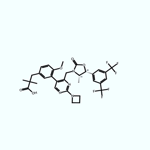 COc1ccc(CC(C)(C)C(=O)O)cc1-c1cnc(N2CCC2)nc1CN1C(=O)O[C@H](c2cc(C(F)(F)F)cc(C(F)(F)F)c2)[C@@H]1C